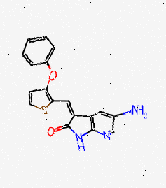 Nc1cnc2c(c1)C(=Cc1sccc1Oc1ccccc1)C(=O)N2